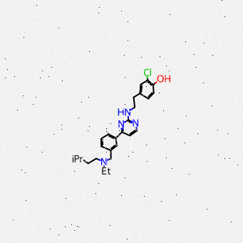 CCN(CCC(C)C)Cc1cccc(-c2ccnc(NCCc3ccc(O)c(Cl)c3)n2)c1